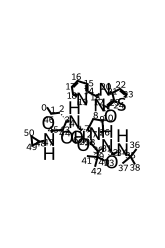 CCC[C@H](NC(=O)[C@@H]1C[C@@H](Oc2nc(-c3ccccn3)nc3ccsc23)CN1C(=O)[C@@H](NC(=O)NC(C)(C)C)C(C)(C)C)C(O)C(=O)NC1CC1